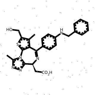 Cc1c(CO)sc2c1C(c1ccc(NCc3ccccc3)cc1)=N[C@@H](CC(=O)O)c1nnc(C)n1-2